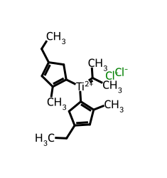 CCC1=CC(C)=[C]([Ti+2]([C]2=C(C)C=C(CC)C2)=[C](C)C)C1.[Cl-].[Cl-]